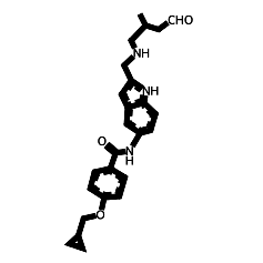 CC(CC=O)CNCc1cc2cc(NC(=O)c3ccc(OCC4CC4)cc3)ccc2[nH]1